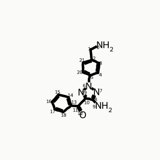 NCc1ccc(-n2nc(N)c(C(=O)c3ccccc3)n2)cc1